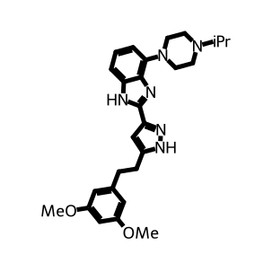 COc1cc(CCc2cc(-c3nc4c(N5CCN(C(C)C)CC5)cccc4[nH]3)n[nH]2)cc(OC)c1